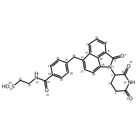 O=C1CCC(N2C(=O)c3cccc4c(Cc5ccc(C(=O)NCCS(=O)(=O)O)cc5)ccc2c34)C(=O)N1